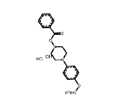 CCCCCOc1ccc(N2CCN(OC(=O)c3ccccc3)CC2)cc1.Cl.Cl